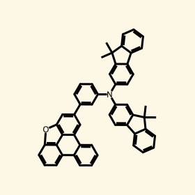 CC1(C)c2ccccc2-c2ccc(N(c3cccc(-c4cc5oc6cccc7c8ccccc8c(c4)c5c67)c3)c3ccc4c(c3)C(C)(C)c3ccccc3-4)cc21